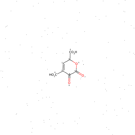 O=C(O)C1=CC(C(=O)O)OC(=O)C1=O